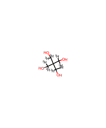 [2H]C([2H])(O)C(C([2H])([2H])O)(C([2H])([2H])O)C([2H])([2H])O